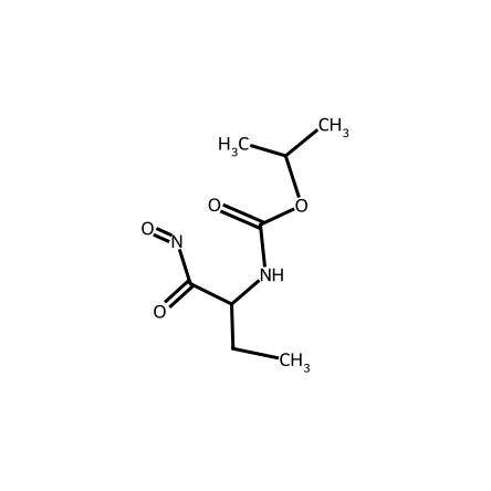 CCC(NC(=O)OC(C)C)C(=O)N=O